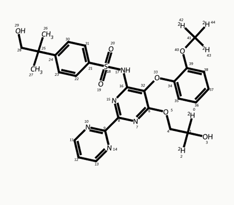 [2H]C([2H])(O)COc1nc(-c2ncccn2)nc(NS(=O)(=O)c2ccc(C(C)(C)CO)cc2)c1Oc1ccccc1OC([2H])([2H])[2H]